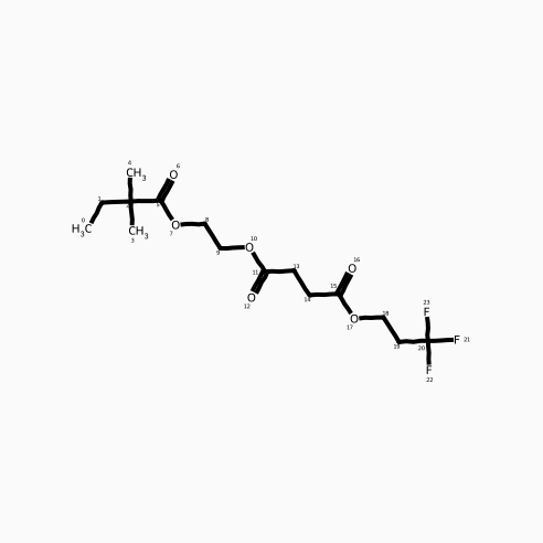 CCC(C)(C)C(=O)OCCOC(=O)CCC(=O)OCCC(F)(F)F